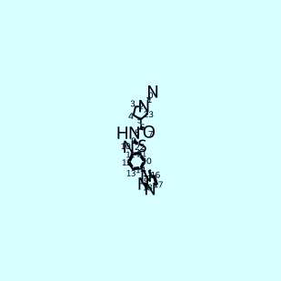 N#CN1CC[C@H](C(=O)Nc2nc3ccc(-n4ccnn4)cc3s2)C1